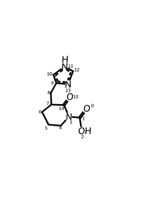 O=C(O)N1CCCC(Cc2c[nH]cn2)C1=O